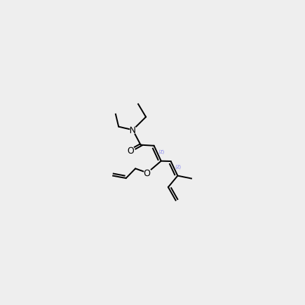 C=CCOC(/C=C(/C)C=C)=C\C(=O)N(CC)CC